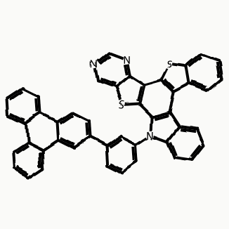 c1cc(-c2ccc3c4ccccc4c4ccccc4c3c2)cc(-n2c3ccccc3c3c4c5ccccc5sc4c4c5ncncc5sc4c32)c1